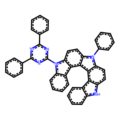 c1ccc(-c2nc(-c3ccccc3)nc(-n3c4ccccc4c4c5c6c7c(ccc6n(-c6ccccc6)c5ccc43)[nH]c3ccccc37)n2)cc1